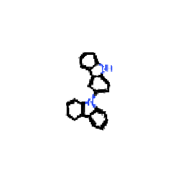 C1=Cc2c(c3ccccc3n2-c2ccc3[nH]c4ccccc4c3c2)CC1